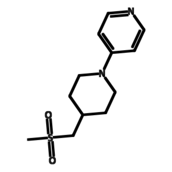 CS(=O)(=O)CC1CCN(c2ccncc2)CC1